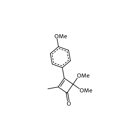 COc1ccc(C2=C(C)C(=O)C2(OC)OC)cc1